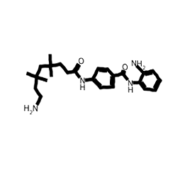 CC(C)(CCN)CC(C)(C)CCC(=O)Nc1ccc(C(=O)Nc2ccccc2N)cc1